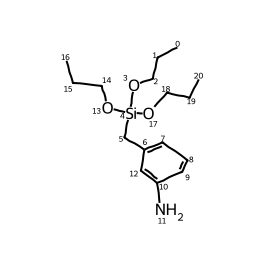 CCCO[Si](Cc1cccc(N)c1)(OCCC)OCCC